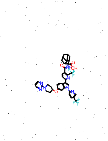 O=C(NC1(C(=O)O)C2CC3CC(C2)CC1C3)c1ccc(-c2cn(-c3ccc(C(F)(F)F)cn3)c3cc(OC4CCN(c5ncccn5)CC4)ccc23)nc1C(F)(F)F